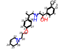 CC(CNCC(O)c1cccc(C(F)(F)F)c1)c1ccc(OCCN2CCCCC2)cc1